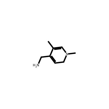 CC1=CN(C)CC=C1CN